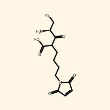 N[C@@H](CS)C(=O)C(CCCCN1C(=O)C=CC1=O)C(=O)O